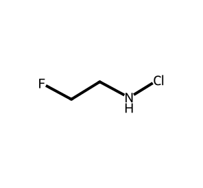 FCCNCl